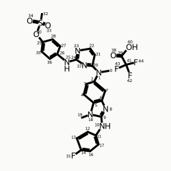 CN(c1ccc2c(c1)nc(Nc1ccc(F)cc1)n2C)c1ccnc(Nc2ccc(OS(C)(=O)=O)cc2)n1.O=C(O)C(F)(F)F